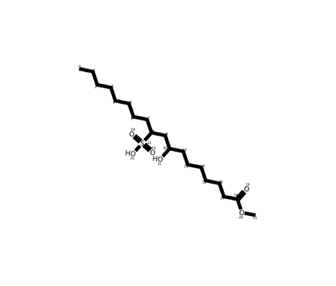 CCCCCCCCC(CC(O)CCCCCCC(=O)OC)S(=O)(=O)O